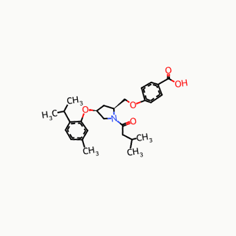 Cc1ccc(C(C)C)c(O[C@H]2C[C@@H](COc3ccc(C(=O)O)cc3)N(C(=O)CC(C)C)C2)c1